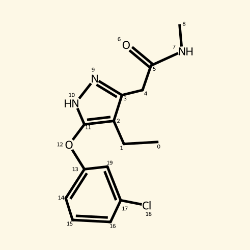 CCc1c(CC(=O)NC)n[nH]c1Oc1cccc(Cl)c1